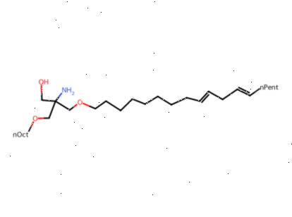 CCCCCC=CCC=CCCCCCCCCOCC(N)(CO)COCCCCCCCC